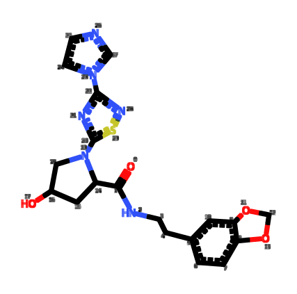 O=C(NCCc1ccc2c(c1)OCO2)C1CC(O)CN1c1nc(-n2ccnc2)ns1